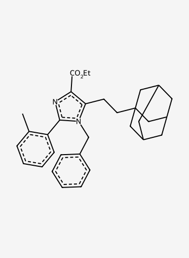 CCOC(=O)c1nc(-c2ccccc2C)n(Cc2ccccc2)c1CCC12CC3CC(CC(C3)C1)C2